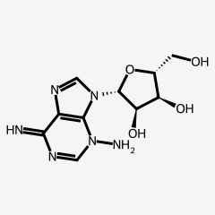 N=c1ncn(N)c2c1ncn2[C@@H]1O[C@H](CO)[C@@H](O)[C@H]1O